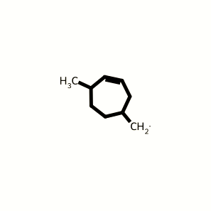 [CH2]C1CC=CC(C)CC1